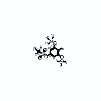 Cc1c(O[Si](C)(C)C)cc(OS(=O)(=O)C(F)(F)F)cc1O[Si](C)(C)C